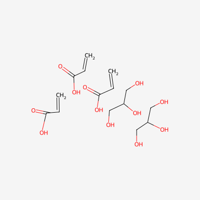 C=CC(=O)O.C=CC(=O)O.C=CC(=O)O.OCC(O)CO.OCC(O)CO